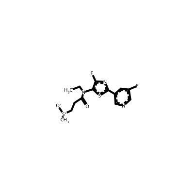 CCN(C(=O)CC[S+](C)[O-])c1sc(-c2cncc(F)c2)nc1F